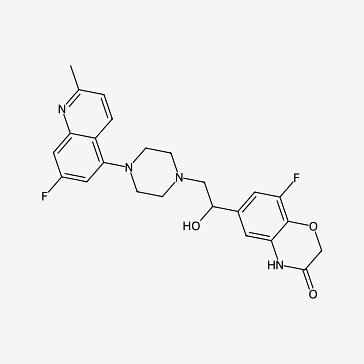 Cc1ccc2c(N3CCN(CC(O)c4cc(F)c5c(c4)NC(=O)CO5)CC3)cc(F)cc2n1